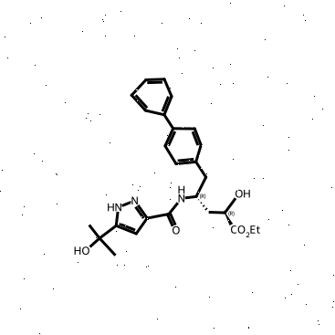 CCOC(=O)[C@H](O)C[C@@H](Cc1ccc(-c2ccccc2)cc1)NC(=O)c1cc(C(C)(C)O)[nH]n1